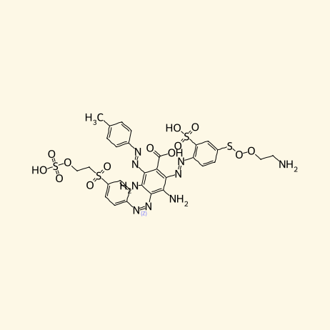 Cc1ccc(N=Nc2c(N)c(/N=N\c3ccc(S(=O)(=O)CCOS(=O)(=O)O)cc3)c(N)c(N=Nc3ccc(SOOCCN)cc3S(=O)(=O)O)c2C(=O)O)cc1